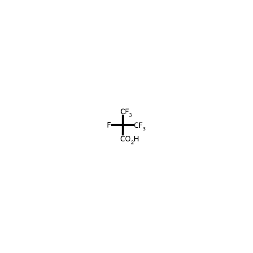 O=C(O)C(F)(C(F)(F)F)C(F)(F)F